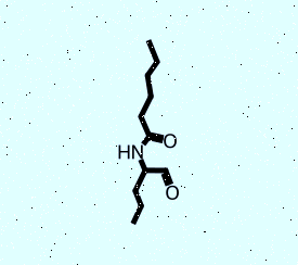 CCCCCC(=O)NC(C=O)CCC